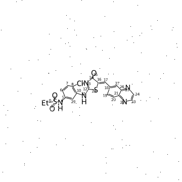 CCS(=O)(=O)Nc1ccc(Cl)c(NC2=NC(=O)/C(=C/c3ccc4nccnc4c3)S2)c1